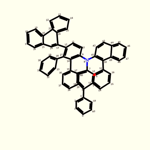 c1ccc(-c2ccc(N(c3ccc(-c4cc5ccccc5c5ccccc45)c(-c4ccccc4)c3-c3ccccc3)c3ccc4ccccc4c3-c3ccccc3)cc2)cc1